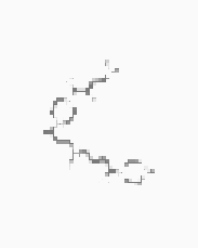 CC(CCN(I)C/C=C/C(=O)N1CCN(C)CC1)N1CCN(C(=O)/C(F)=C/CN(C)C)CC1